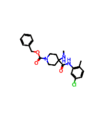 CNC1(C(=O)Nc2cc(Cl)ccc2C)CCN(C(=O)OCc2ccccc2)CC1